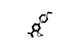 C=C(C)c1ccc(N2CCN(CC)CC2)cc1OC